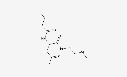 CCCC(=O)NC(CC(C)=O)C(=O)NCCNC